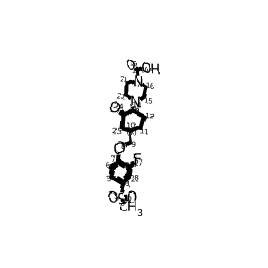 CS(=O)(=O)c1ccc(OC[C@@H]2CC[C@@H](N3CCN(C(=O)O)CC3)C(=O)C2)c(F)c1